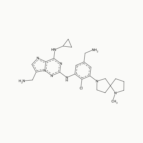 CN1CCCC12CCN(c1cc(CN)cc(Nc3nc(NC4CC4)c4ncc(CN)n4n3)c1Cl)C2